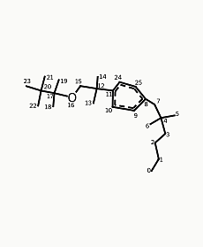 CCCCC(C)(C)Cc1ccc(C(C)(C)COC(C)(C)C(C)(C)C)cc1